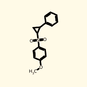 COc1ccc(S(=O)(=O)C2CC2c2ccccc2)cc1